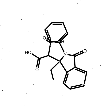 CCC1(C(C(=O)O)C(=O)O)c2ccccc2C(=O)N1c1ccccc1